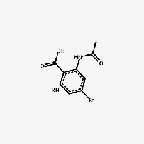 CC(=O)Nc1cc(Br)ccc1C(=O)O.[KH]